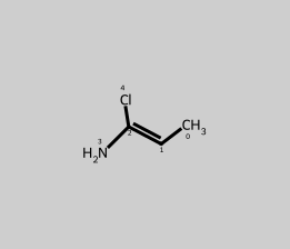 CC=C(N)Cl